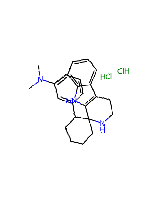 CN(C)c1cccc(C2CCCCC23NCCc2c3[nH]c3ccccc23)c1.Cl.Cl